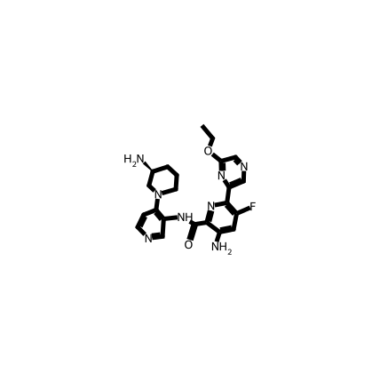 CCOc1cncc(-c2nc(C(=O)Nc3cnccc3N3CCC[C@H](N)C3)c(N)cc2F)n1